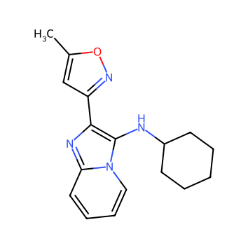 Cc1cc(-c2nc3ccccn3c2NC2CCCCC2)no1